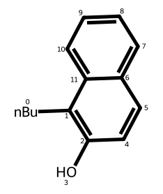 CCCCc1c(O)ccc2ccccc12